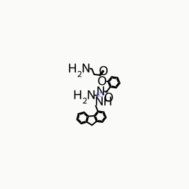 NCCC(=O)Oc1ccccc1C(=O)/N=C(/N)NCc1cccc2c1-c1ccccc1C2